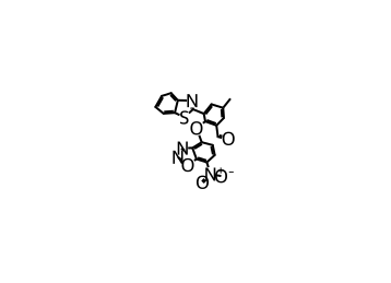 Cc1cc(C=O)c(Oc2ccc([N+](=O)[O-])c3onnc23)c(-c2nc3ccccc3s2)c1